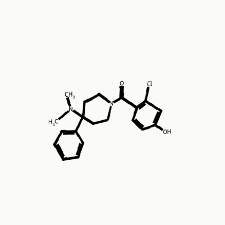 CN(C)C1(c2ccccc2)CCN(C(=O)c2ccc(O)cc2Cl)CC1